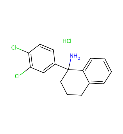 Cl.NC1(c2ccc(Cl)c(Cl)c2)CCCc2ccccc21